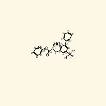 CN(Cc1cc(C(F)(F)F)cc(-c2ccccc2)c1O)C(=O)Oc1ccccn1